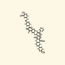 CC[C@H](c1ccccc1)N1Cc2cc3c(cc2C[C@H]1C(=O)NC(Cc1ccc(-c2ccc(C#N)cc2)cc1)C(=O)OC)N(C)C(=O)[C@H](c1ccc(OCc2ccc(Cl)c(Cl)c2)cc1)O3